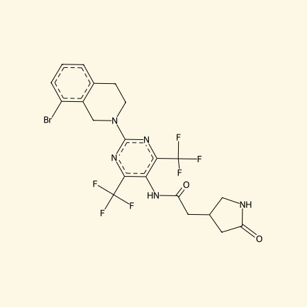 O=C1CC(CC(=O)Nc2c(C(F)(F)F)nc(N3CCc4cccc(Br)c4C3)nc2C(F)(F)F)CN1